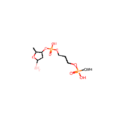 BC1CC(OP(=O)(O)OCCCOP(=O)(O)OC)C(C)O1